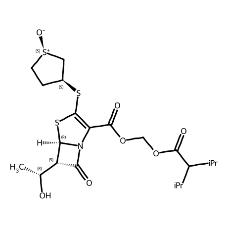 CC(C)C(C(=O)OCOC(=O)C1=C(S[C@H]2CC[S@@+]([O-])C2)S[C@@H]2[C@@H]([C@@H](C)O)C(=O)N12)C(C)C